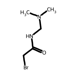 CN(C)CNC(=O)CBr